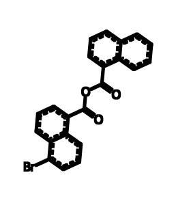 O=C(OC(=O)c1cccc2c(Br)cccc12)c1cccc2ccccc12